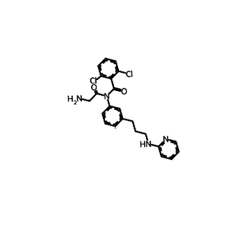 NCC(=O)N(C(=O)c1c(Cl)cccc1Cl)c1cc[c]c(CCCNc2ccccn2)c1